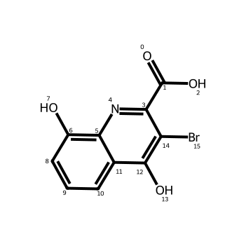 O=C(O)c1nc2c(O)cccc2c(O)c1Br